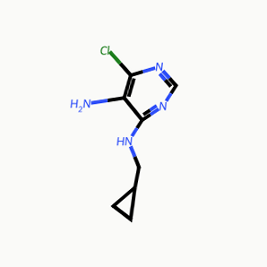 Nc1c(Cl)ncnc1NCC1CC1